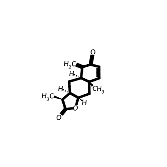 C=C1C(=O)C=C[C@]2(C)C[C@H]3OC(=O)[C@@H](C)[C@H]3C[C@@H]12